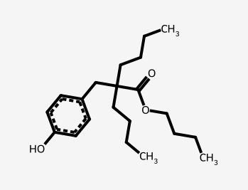 CCCCOC(=O)C(CCCC)(CCCC)Cc1ccc(O)cc1